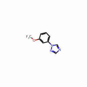 FC(F)(F)Oc1cccc(-n2cn[c]n2)c1